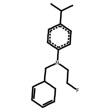 CC(C)c1ccc(N(CCF)CC2C=CC=CC2)cc1